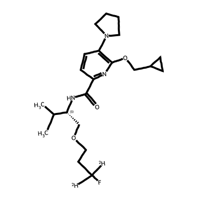 [2H]C([2H])(F)CCOC[C@@H](NC(=O)c1ccc(N2CCCC2)c(OCC2CC2)n1)C(C)C